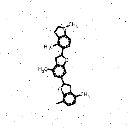 Cc1cc(C2Cc3c(C)ccc(F)c3O2)cc2c1CC(c1ccc3c(c1C)CCN3C)O2